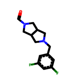 O=CN1CC2CN(Cc3cc(F)cc(F)c3)CC2C1